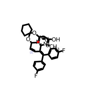 Cn1nnnc1C(/C=C\C1CC(CC(=O)O)OC2(CCCCC2)O1)=C(c1ccc(F)cc1)c1ccc(F)cc1